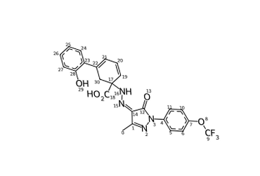 CC1=NN(c2ccc(OC(F)(F)F)cc2)C(=O)C1=NNC1(C(=O)O)C=CC=C(c2ccccc2O)C1